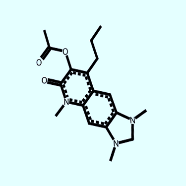 CCCc1c(OC(C)=O)c(=O)n(C)c2cc3c(cc12)N(C)CN3C